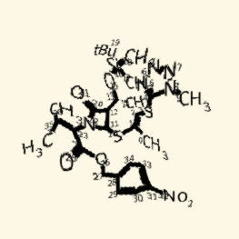 CC(=CSc1nnnn1C)SC1C([C@@H](C)O[Si](C)(C)C(C)(C)C)C(=O)N1C(C(=O)OCc1ccc([N+](=O)[O-])cc1)=C(C)C